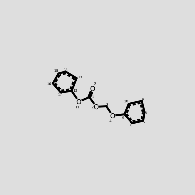 O=C(OCOc1ccccc1)Oc1ccccc1